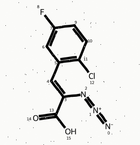 [N-]=[N+]=N/C(=C\c1cc(F)ccc1Cl)C(=O)O